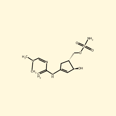 C=C(/N=C\N(C)C)NC1=C[C@H](O)[C@@H](COS(N)(=O)=O)C1